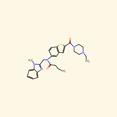 CCCC(=O)N(Cc1nc2ccccc2n1C)c1ccc2sc(C(=O)N3CCN(CC)CC3)cc2c1